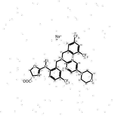 CCN(C1=N[C@H](C(=O)[O-])CO1)c1ccc(C(F)(F)F)cc1CN(Cc1cc(C(F)(F)F)cc(C(F)(F)F)c1)c1ncc(N2CCOCC2)cn1.[Na+]